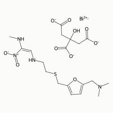 CNC(=CNCCSCc1ccc(CN(C)C)o1)[N+](=O)[O-].O=C([O-])CC(O)(CC(=O)[O-])C(=O)[O-].[Bi+3]